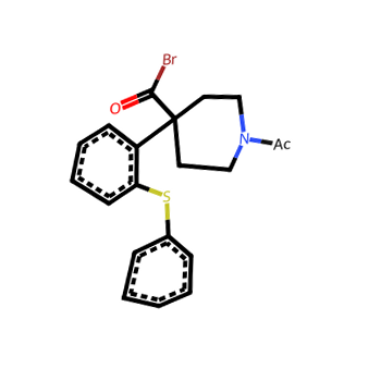 CC(=O)N1CCC(C(=O)Br)(c2ccccc2Sc2ccccc2)CC1